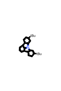 CC(C)(C)c1ccc2c3cccc4c5ccc(C(C)(C)C)cc5n(c2c1)c34